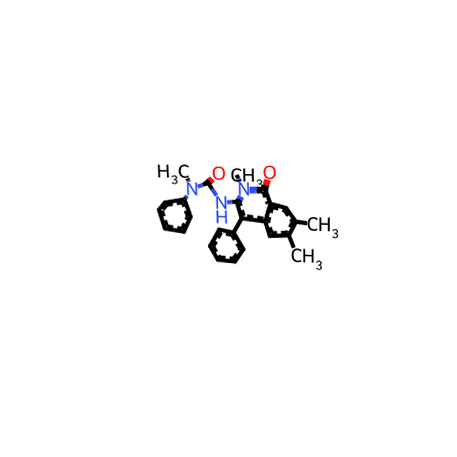 Cc1cc2c(-c3ccccc3)c(NC(=O)N(C)c3ccccc3)n(C)c(=O)c2cc1C